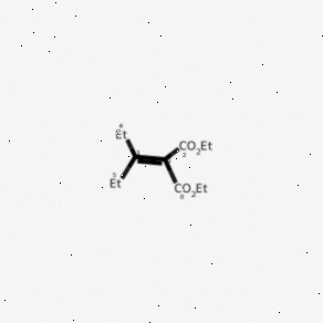 CCOC(=O)C(C(=O)OCC)=C(CC)CC